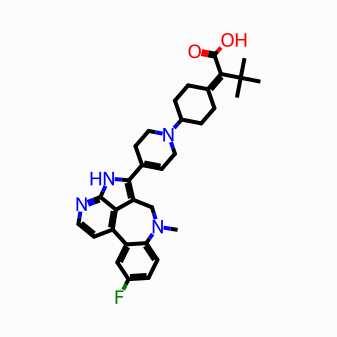 CN1Cc2c(C3=CCN(C4CCC(=C(C(=O)O)C(C)(C)C)CC4)CC3)[nH]c3nccc(c23)-c2cc(F)ccc21